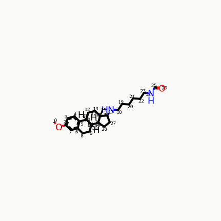 COc1ccc2c(c1)CC[C@@H]1[C@@H]2CC[C@]2(C)[C@@H](NCCCCCCNC=O)CC[C@@H]12